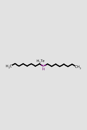 CCCCCCCCPCCCCCCCC.[TeH2]